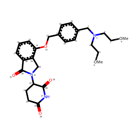 COCCN(CCOC)Cc1ccc(COc2cccc3c2CN(C2CCC(=O)NC2=O)C3=O)cc1